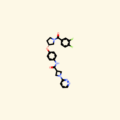 O=C(Nc1ccc(O[C@@H]2CCN(C(=O)c3ccc(F)c(F)c3)C2)cc1)C1CN(c2cccnn2)C1